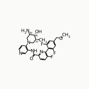 COCc1cc(F)c(-c2nc(C(=O)Nc3cnccc3N3C[C@@H](N)[C@H](O)[C@@H](C)C3)ccc2F)c(F)c1